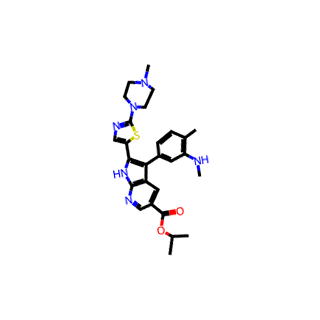 CNc1cc(-c2c(-c3cnc(N4CCN(C)CC4)s3)[nH]c3ncc(C(=O)OC(C)C)cc23)ccc1C